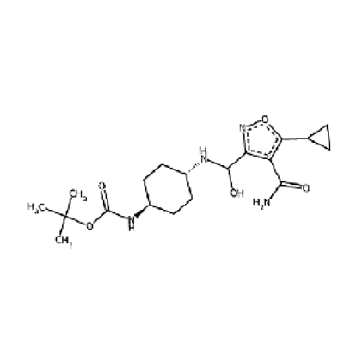 CC(C)(C)OC(=O)N[C@H]1CC[C@H](NC(O)c2noc(C3CC3)c2C(N)=O)CC1